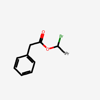 CC(C)C(Br)OC(=O)Cc1ccccc1